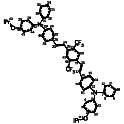 CC(C)Oc1ccc(N(c2ccccc2)c2ccc(C=Cc3cc(C(F)(F)F)c(C=Cc4ccc(N(c5ccccc5)c5ccc(OC(C)C)cc5)cc4)cc3C(F)(F)F)cc2)cc1